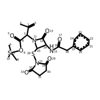 C=C(C)C(C(=O)O[Si](C)(C)C)N1C(=O)C(NC(=O)Cc2ccccc2)C1SN1C(=O)CCC1=O